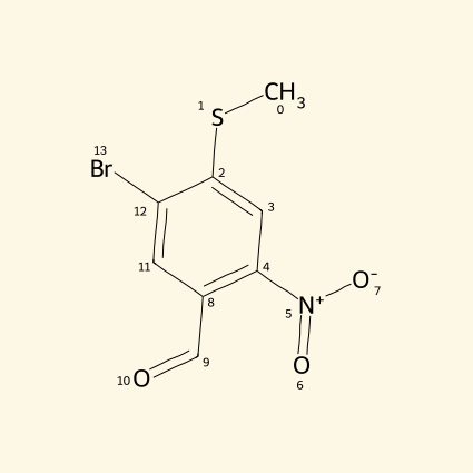 CSc1cc([N+](=O)[O-])c(C=O)cc1Br